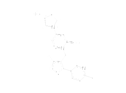 Cc1ccc(-c2noc(C)c2Cn2ncc(N3CC[C@@H](O)C3)cc2=O)cn1